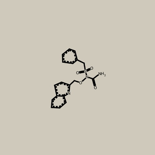 NC(=O)N(OCc1ccc2ccccc2n1)S(=O)(=O)Cc1ccccc1